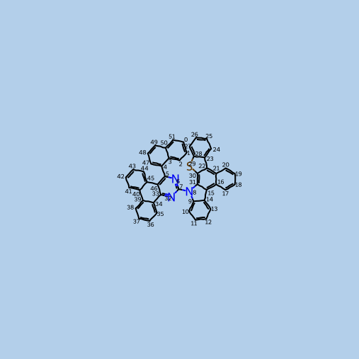 c1ccc2c(-c3nc(-n4c5ccccc5c5c6ccccc6c6c7ccccc7sc6c54)nc4c5ccccc5c5ccccc5c34)cccc2c1